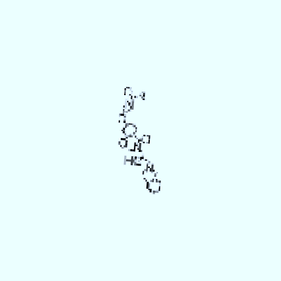 O=C1c2ccc(OC3CN(C(=O)C4CC4)C3)cc2OCCN1C[C@H](O)CN1CCc2ccccc2C1